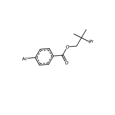 CC(=O)c1ccc(C(=O)OCC(C)(C)C(C)C)cc1